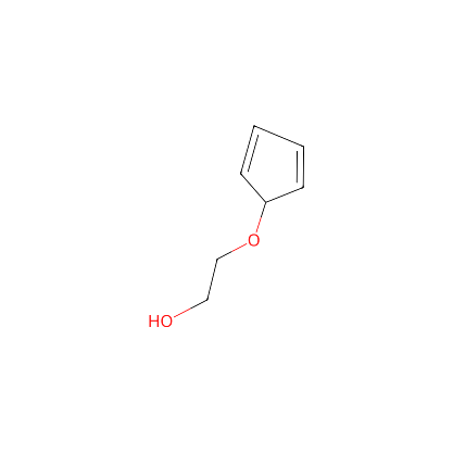 OCCOC1C=CC=C1